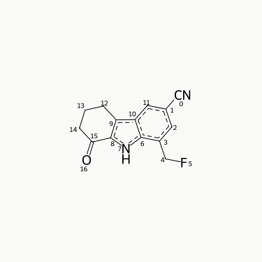 N#Cc1cc(CF)c2[nH]c3c(c2c1)CCCC3=O